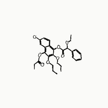 CCCOc1c(OCCC)c(OC(=O)C(OCC)c2ccccc2)c2ccc(Cl)cc2c1OC(=O)CC